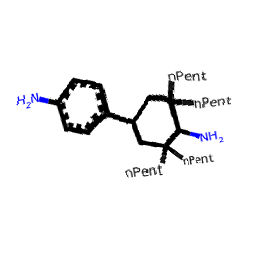 CCCCCC1(CCCCC)CC(c2ccc(N)cc2)CC(CCCCC)(CCCCC)C1N